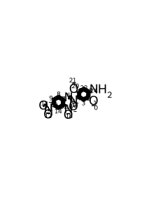 COc1cc(N=Nc2ccc([N+](=O)[O-])cc2[N+](=O)[O-])c(OC)cc1N